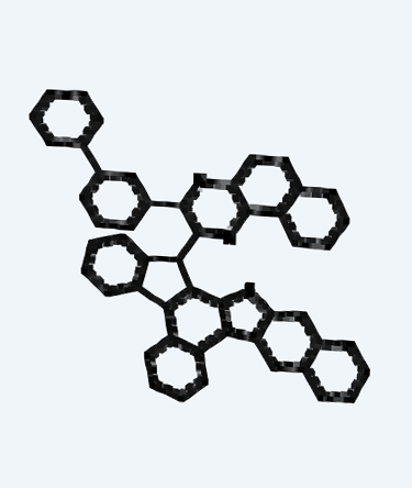 c1ccc(-c2cccc(-c3nc4ccc5ccccc5c4nc3C3c4ccccc4-c4c3c3sc5cc6ccccc6cc5c3c3ccccc43)c2)cc1